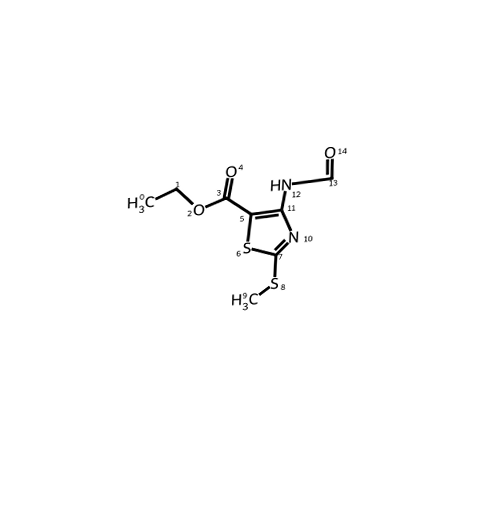 CCOC(=O)c1sc(SC)nc1NC=O